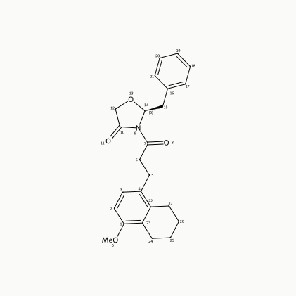 COc1ccc(CCC(=O)N2C(=O)CO[C@H]2Cc2ccccc2)c2c1CCCC2